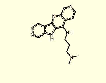 CN(C)CCCNc1c2ccncc2nc2c1[nH]c1cnccc12